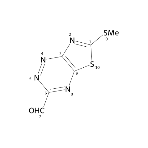 CSc1nc2nnc(C=O)nc2s1